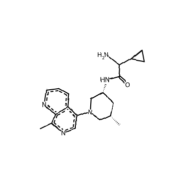 Cc1ncc(N2C[C@@H](C)C[C@@H](NC(=O)C(N)C3CC3)C2)c2cccnc12